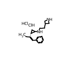 CCC(=Cc1ccccc1)[C@@H]1CC1NCCC1CNC1.Cl.Cl